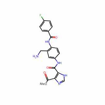 COC(=O)c1nc[nH]c1C(=O)Nc1ccc(NC(=O)c2ccc(F)cc2)c(CN)c1